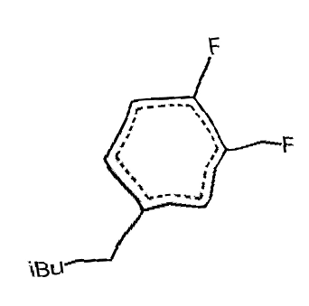 CCC(C)Cc1ccc(F)c(F)c1